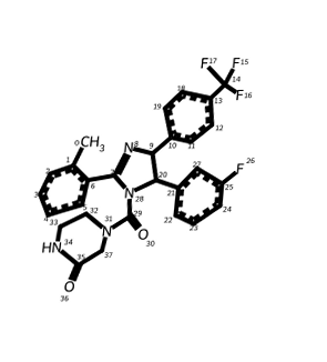 Cc1ccccc1C1=NC(c2ccc(C(F)(F)F)cc2)C(c2cccc(F)c2)N1C(=O)N1CCNC(=O)C1